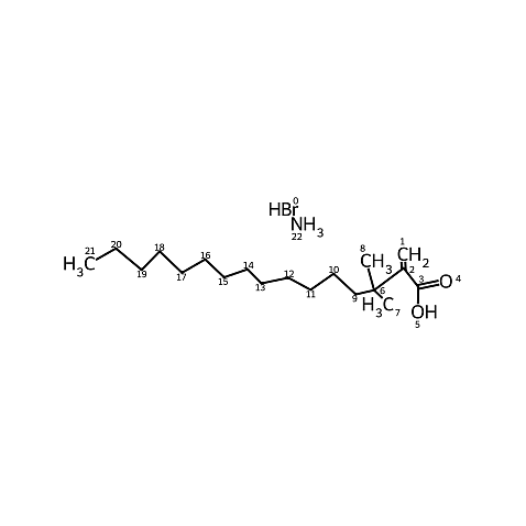 Br.C=C(C(=O)O)C(C)(C)CCCCCCCCCCCCC.N